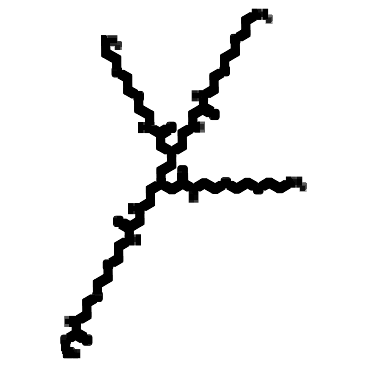 CC(C)(C)OC(=O)NCCOCCOCCNC(=O)CNCCN(CCN(CCNCC(=O)NCCOCCOCCN)CC(=O)NCCOCCOCCN)CC(=O)NCCOCCOCCN